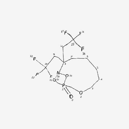 O=P12OCCCCCC(CC(F)(F)F)(CC(F)(F)F)N(O1)O2